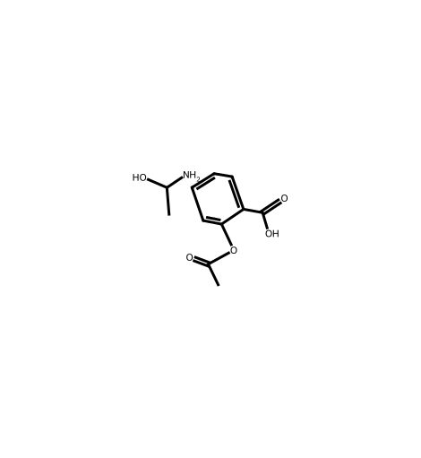 CC(=O)Oc1ccccc1C(=O)O.CC(N)O